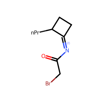 CCCC1CC/C1=N/C(=O)CBr